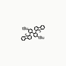 CC(C)(C)c1ccc(-c2ccc(C(C)(C)C)cc2-c2cccc3c2sc2ccccc23)c(-c2cccc3c2sc2ccccc23)c1